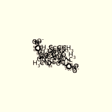 CCCOP(OCCC)(OCCC)=C(C(=O)OCc1ccc([N+](=O)[O-])cc1)N1C(=O)C(C=C=O)(C(C)O[Si](C)(C)C)C1SC1CCN(C(C)=NC(=O)OCc2ccc([N+](=O)[O-])cc2)C1